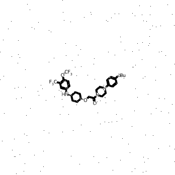 CC(C)(C)c1ccc(N2CCN(C(=O)CO[C@H]3CC[C@H](Nc4ccc(OC(F)(F)F)c(C(F)(F)F)c4)CC3)CC2)cc1